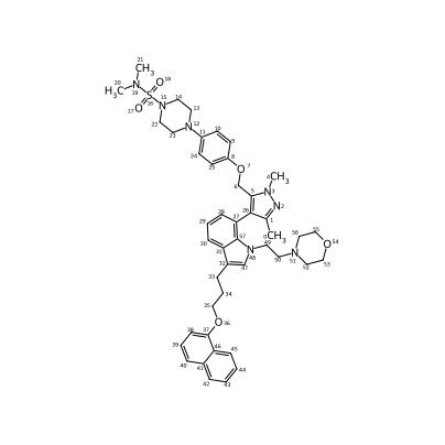 Cc1nn(C)c(COc2ccc(N3CCN(S(=O)(=O)N(C)C)CC3)cc2)c1-c1cccc2c(CCCOc3cccc4ccccc34)cn(CCN3CCOCC3)c12